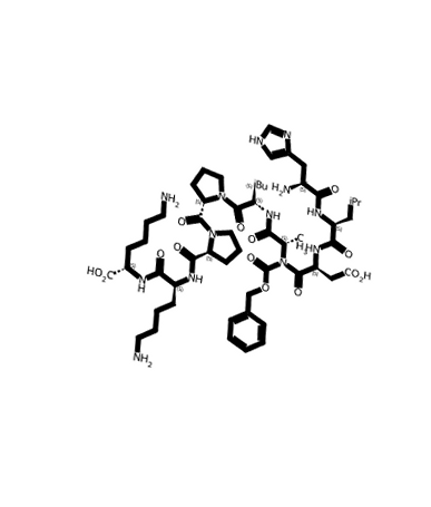 CC[C@H](C)[C@H](NC(=O)[C@H](C)N(C(=O)OCc1ccccc1)C(=O)[C@H](CC(=O)O)NC(=O)[C@H](CC(C)C)NC(=O)[C@@H](N)Cc1c[nH]cn1)C(=O)N1CCC[C@H]1C(=O)N1CCC[C@H]1C(=O)N[C@@H](CCCCN)C(=O)N[C@@H](CCCCN)C(=O)O